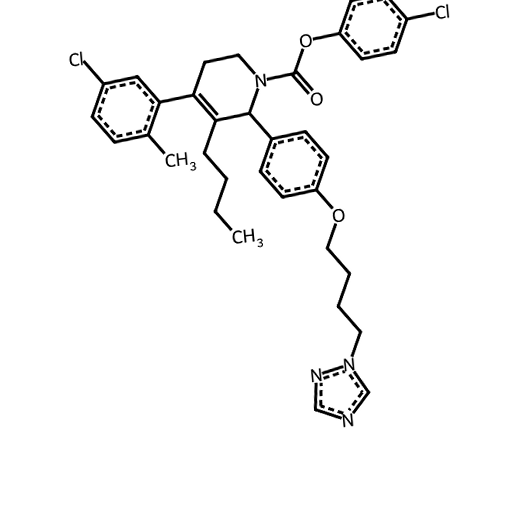 CCCCC1=C(c2cc(Cl)ccc2C)CCN(C(=O)Oc2ccc(Cl)cc2)C1c1ccc(OCCCCn2cncn2)cc1